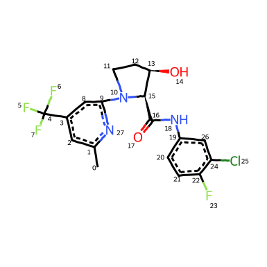 Cc1cc(C(F)(F)F)cc(N2CC[C@@H](O)[C@H]2C(=O)Nc2ccc(F)c(Cl)c2)n1